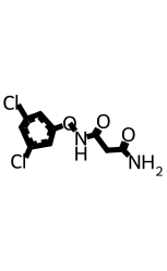 NC(=O)CC(=O)NOc1cc(Cl)cc(Cl)c1